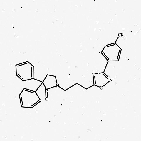 O=C1N(CCCc2nc(-c3ccc(C(F)(F)F)cc3)no2)CCC1(c1ccccc1)c1ccccc1